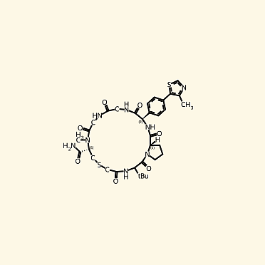 Cc1ncsc1-c1ccc([C@H]2NC(=O)[C@@H]3CCCN3C(=O)C(C(C)(C)C)NC(=O)CSC[C@H](C(N)=O)N(C)C(=O)CNC(=O)CNC2=O)cc1